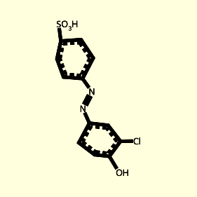 O=S(=O)(O)c1ccc(N=Nc2ccc(O)c(Cl)c2)cc1